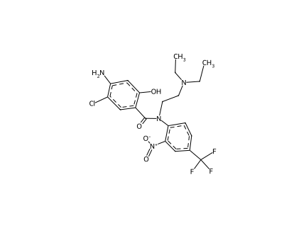 CCN(CC)CCN(C(=O)c1cc(Cl)c(N)cc1O)c1ccc(C(F)(F)F)cc1[N+](=O)[O-]